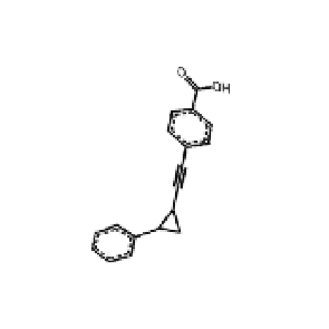 O=C(O)c1ccc(C#CC2CC2c2ccccc2)cc1